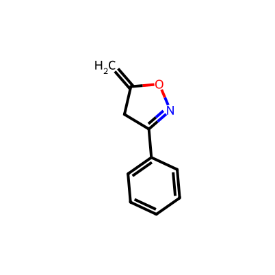 C=C1CC(c2ccccc2)=NO1